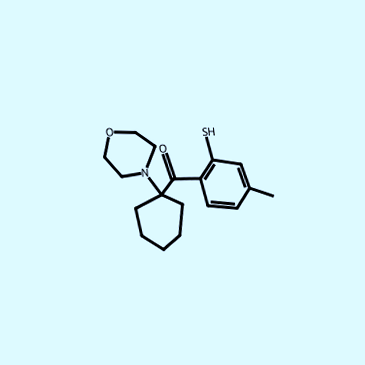 Cc1ccc(C(=O)C2(N3CCOCC3)CCCCC2)c(S)c1